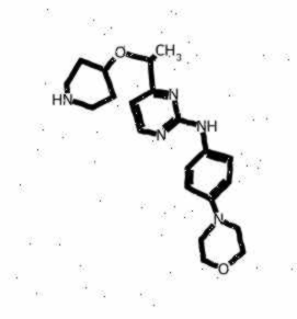 C[C](OC1CCNCC1)c1ccnc(Nc2ccc(N3CCOCC3)cc2)n1